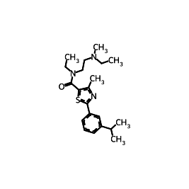 CCN(C)CCN(CC)C(=O)c1sc(-c2cccc(C(C)C)c2)nc1C